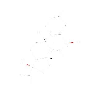 CC(=O)[C@@]1(O)CC[C@H]2[C@@H]3C(=O)[C@H](O)C4=CC(=O)CC[C@]4(C)[C@H]3CC[C@@]21C